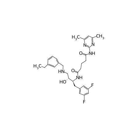 CCc1cccc(CNC[C@@H](O)[C@H](Cc2cc(F)cc(F)c2)NC(=O)CCCC(=O)Nc2nc(C)cc(C)n2)c1